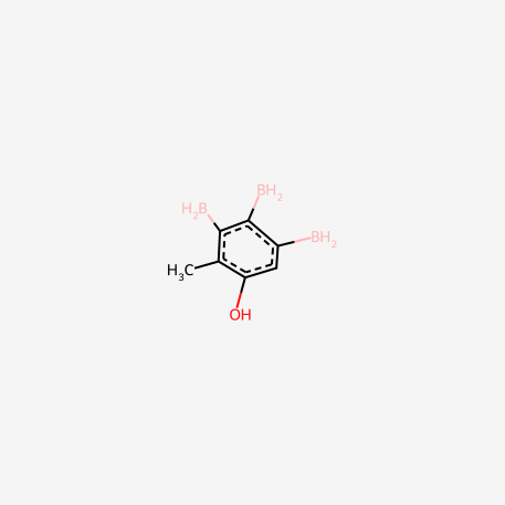 Bc1cc(O)c(C)c(B)c1B